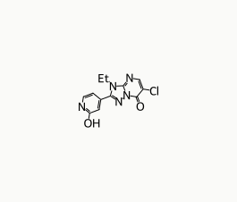 CCn1c(-c2ccnc(O)c2)nn2c(=O)c(Cl)cnc12